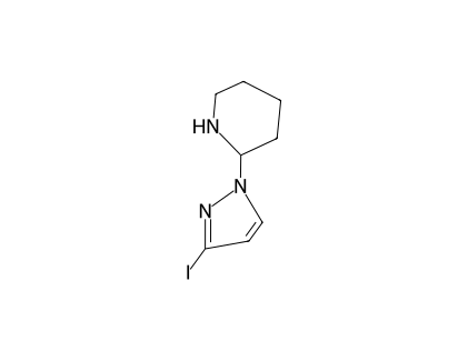 Ic1ccn(C2CCCCN2)n1